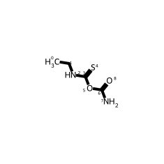 CCNC(=S)OC(N)=O